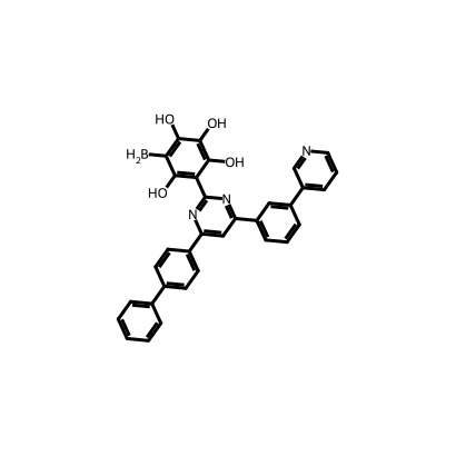 Bc1c(O)c(O)c(O)c(-c2nc(-c3ccc(-c4ccccc4)cc3)cc(-c3cccc(-c4cccnc4)c3)n2)c1O